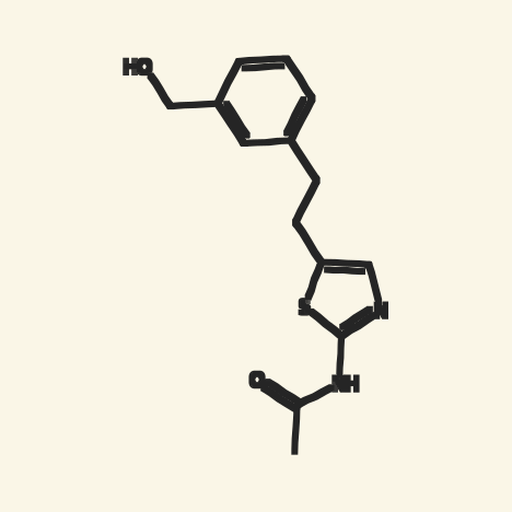 CC(=O)Nc1ncc(CCc2cccc(CO)c2)s1